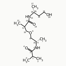 CC(C)C(=O)N[C@@H](C)COCC(C)C(=O)N[C@H](C)CCO